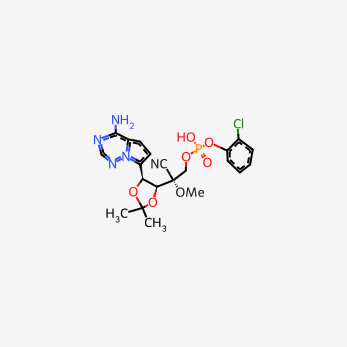 CO[C@](C#N)(COP(=O)(O)Oc1ccccc1Cl)[C@H]1OC(C)(C)O[C@H]1c1ccc2c(N)ncnn12